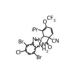 CC(C)C1=C(OC(F)(F)F)C=CC(C#N)(C(N)=O)C1n1nc2c(Br)cc(Cl)c(Br)c2n1